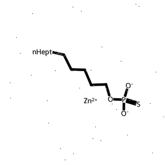 CCCCCCCCCCCCOP([O-])([O-])=S.[Zn+2]